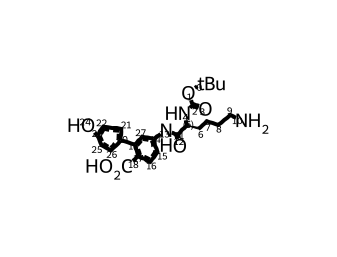 CC(C)(C)OC(=O)N[C@@H](CCCCN)C(=O)Nc1ccc(C(=O)O)c(-c2ccc(O)cc2)c1